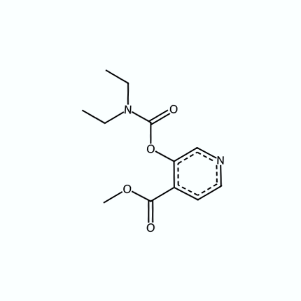 CCN(CC)C(=O)Oc1cnccc1C(=O)OC